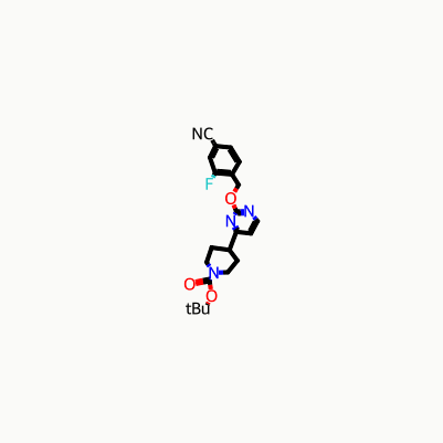 CC(C)(C)OC(=O)N1CCC(c2ccnc(OCc3ccc(C#N)cc3F)n2)CC1